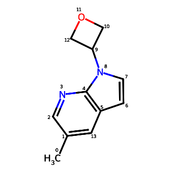 Cc1cnc2c(ccn2C2COC2)c1